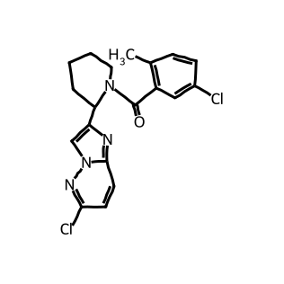 Cc1ccc(Cl)cc1C(=O)N1CCCCC1c1cn2nc(Cl)ccc2n1